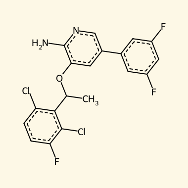 CC(Oc1cc(-c2cc(F)cc(F)c2)cnc1N)c1c(Cl)ccc(F)c1Cl